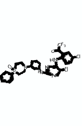 O=C(c1cc(Cl)ccc1Nc1nc(Nc2cccc(N3CCP(=O)(c4ccccc4)CC3)c2)ncc1Cl)C(F)(F)F